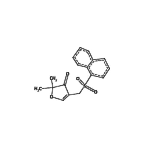 CC1(C)OC=C(CS(=O)(=O)c2cccc3ccccc23)C1=O